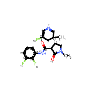 CN1C[C@@H](C2(C)C=NC=C(F)C2)[C@H](C(=O)Nc2cccc(F)c2F)C1=O